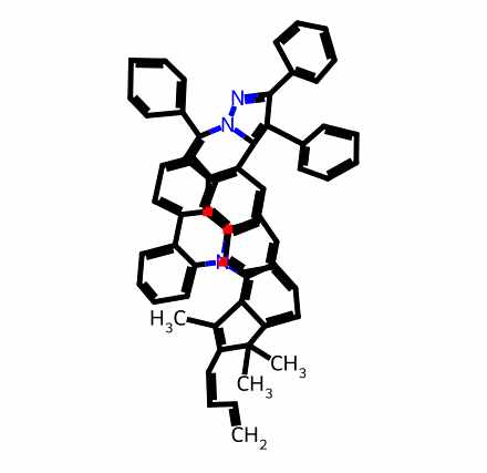 C=C/C=C\C1=C(C)c2c(N(c3ccc4c(c3)cc(-c3ccccc3)n3nc(-c5ccccc5)c(-c5ccccc5)c43)c3ccccc3-c3ccccc3-c3ccccc3)cccc2C1(C)C